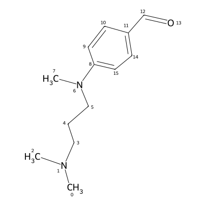 CN(C)CCCN(C)c1ccc(C=O)cc1